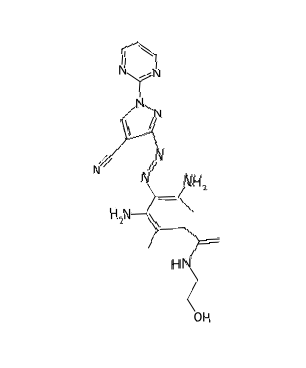 C=C(C/C(C)=C(/N)C(/N=N/c1nn(-c2ncccn2)cc1C#N)=C(C)N)NCCO